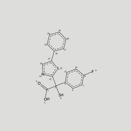 O=C(O)C(S)(c1ccc(F)cc1)c1ncc(-c2ccccc2)s1